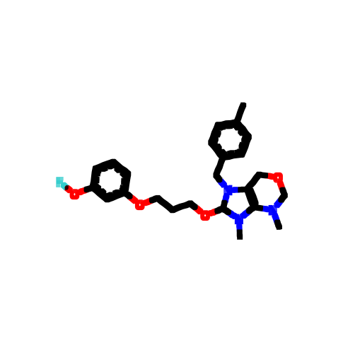 Cc1ccc(CN2C3=C(N(C)COC3)N(C)C2OCCCOc2cccc(OF)c2)cc1